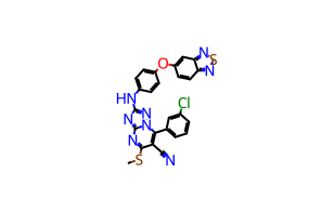 CSc1nc2nc(Nc3ccc(Oc4ccc5nsnc5c4)cc3)nn2c(-c2cccc(Cl)c2)c1C#N